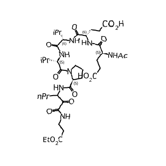 CCCC(NC(=O)[C@@H]1CCCN1C(=O)[C@@H](NC(=O)[C@@H](NC(=O)[C@H](CCC(=O)O)NC(=O)[C@H](CCC(=O)O)NC(C)=O)C(C)C)C(C)C)C(=O)C(=O)NCCC(=O)OCC